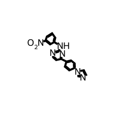 O=[N+]([O-])c1cccc(Nc2nccc(-c3ccc(-n4ccnc4)cc3)n2)c1